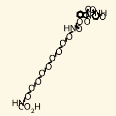 O=C(O)NCCOCCOCCOCCOCCOCCOCCOCCOCCOCCNC(=O)COc1cccc2c1C(=O)N(C1CCC(=O)NC1=O)C2=O